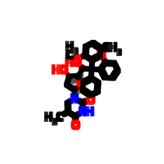 COc1ccccc1C(c1ccccc1)(c1ccccc1OC)C(O)[C@H]1O[C@@H](n2cc(C)c(=O)[nH]c2=O)C[C@@H]1O